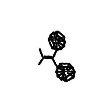 CC(C)=C([C]12[CH]3[CH]4[CH]5[CH]1[Fe]45321678[CH]2[CH]1[CH]6[CH]7[CH]28)[C]12[CH]3[CH]4[CH]5[CH]1[Fe]45321678[CH]2[CH]1[CH]6[CH]7[CH]28